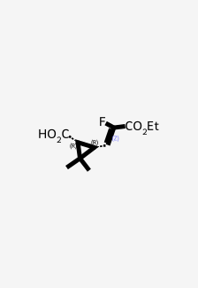 CCOC(=O)/C(F)=C/[C@H]1[C@@H](C(=O)O)C1(C)C